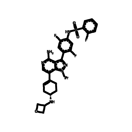 CC(C)n1nc(-c2cc(F)c(NS(=O)(=O)c3ccccc3F)cc2F)c2c(N)ncc(C3=CC[C@@H](NC4COC4)CC3)c21